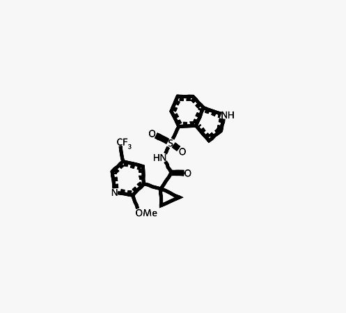 COc1ncc(C(F)(F)F)cc1C1(C(=O)NS(=O)(=O)c2cccc3[nH]ccc23)CC1